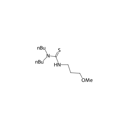 CCCCN(CCCC)C(=S)NCCCOC